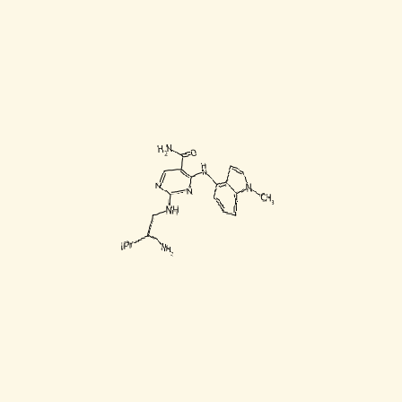 CC(C)C(N)CNc1ncc(C(N)=O)c(Nc2cccc3c2ccn3C)n1